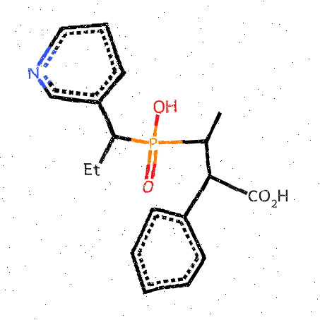 CCC(c1cccnc1)P(=O)(O)C(C)C(C(=O)O)c1ccccc1